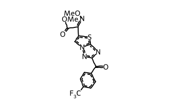 CO/N=C(\C(=O)OC)c1cn2nc(C(=O)c3ccc(C(F)(F)F)cc3)nc2s1